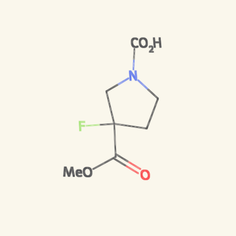 COC(=O)C1(F)CCN(C(=O)O)C1